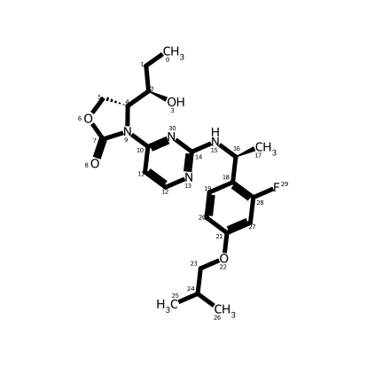 CC[C@@H](O)[C@H]1COC(=O)N1c1ccnc(N[C@@H](C)c2ccc(OCC(C)C)cc2F)n1